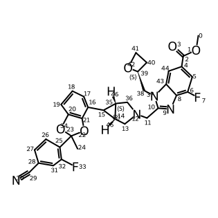 COC(=O)c1cc(F)c2nc(CN3C[C@@H]4C(c5cccc6c5OC(C)(c5ccc(C#N)cc5F)O6)[C@@H]4C3)n(C[C@@H]3CCO3)c2c1